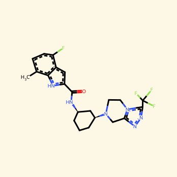 Cc1ccc(F)c2cc(C(=O)N[C@@H]3CCC[C@H](N4CCn5c(nnc5C(F)(F)F)C4)C3)[nH]c12